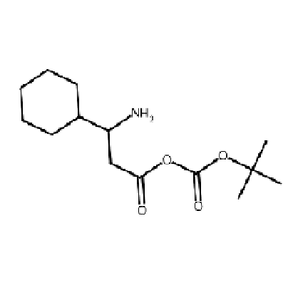 CC(C)(C)OC(=O)OC(=O)CC(N)C1CCCCC1